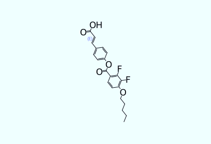 CCCCCOc1ccc(C(=O)Oc2ccc(/C=C/C(=O)O)cc2)c(F)c1F